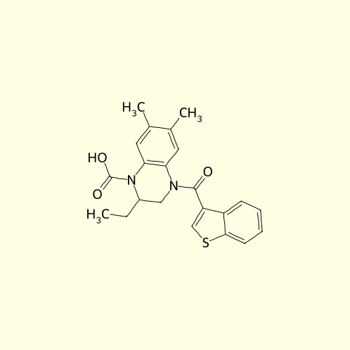 CCC1CN(C(=O)c2csc3ccccc23)c2cc(C)c(C)cc2N1C(=O)O